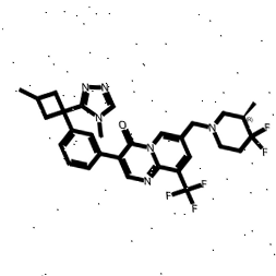 CC1CC(c2cccc(-c3cnc4c(C(F)(F)F)cc(CN5CCC(F)(F)[C@H](C)C5)cn4c3=O)c2)(c2nncn2C)C1